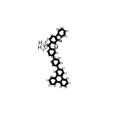 CC1(C)c2ccc(-c3ccc(-c4ccc5c6ccccc6c6ccccc6c5c4)cc3)cc2Oc2c1ccc1c2SC2C=CC=CC12